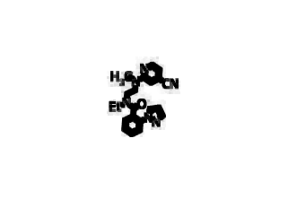 CCN(CCN(C)c1cc(C#N)ccn1)C(=O)c1ccccc1-n1cccn1